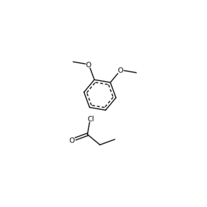 CCC(=O)Cl.COc1ccccc1OC